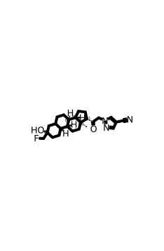 C[C@]12CC[C@H]3[C@@H](CCC4C[C@@](O)(CF)CC[C@@H]43)[C@@H]1CC[C@@H]2C(=O)Cn1cc(C#N)cn1